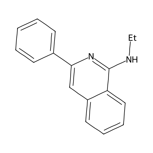 CCNc1nc(-c2ccccc2)cc2ccccc12